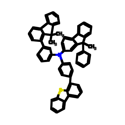 CC1(C)c2ccccc2-c2cccc(-c3cccc(N(c4ccc(-c5cccc6c5sc5ccccc56)cc4)c4ccc5c(c4)C(C)(c4ccccc4)c4ccccc4-5)c3)c21